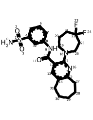 NS(=O)(=O)c1cccc(NC(=O)c2cc3c(nc2N2CCCC(F)(F)CC2)CCCCC3)c1